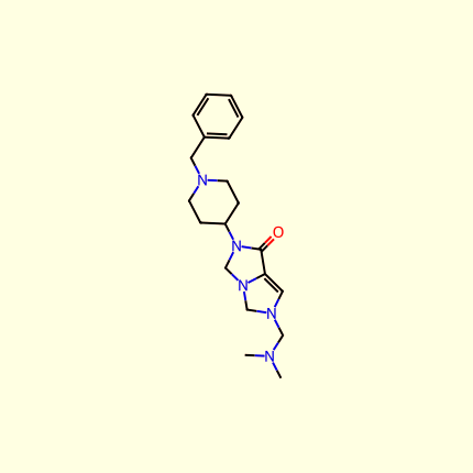 CN(C)CN1C=C2C(=O)N(C3CCN(Cc4ccccc4)CC3)CN2C1